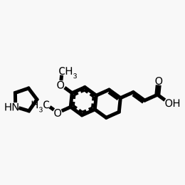 C1CCNC1.COc1cc2c(cc1OC)CCC(C=CC(=O)O)=C2